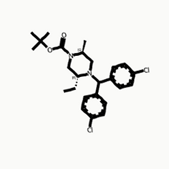 CC[C@@H]1CN(C(=O)OC(C)(C)C)[C@@H](C)CN1C(c1ccc(Cl)cc1)c1ccc(Cl)cc1